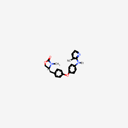 CCN(c1ccc(Oc2ccc(C[C@H]3COC(=O)N3C)cc2)cc1)c1ncccc1C#N